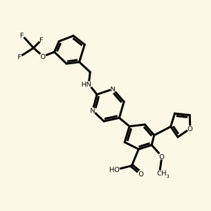 COc1c(C(=O)O)cc(-c2cnc(NCc3cccc(OC(F)(F)F)c3)nc2)cc1-c1ccoc1